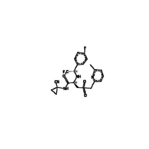 Cc1cccc(CS(=O)(=O)C[C@H](N[C@@H](c2ccc(F)cc2)C(F)(F)F)C(=O)NC2(C#N)CC2)n1